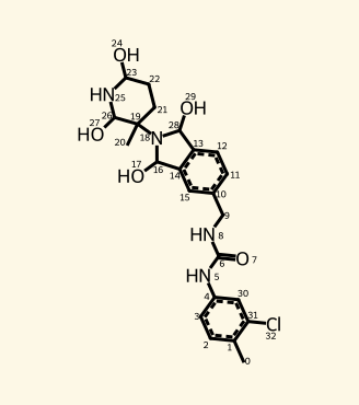 Cc1ccc(NC(=O)NCc2ccc3c(c2)C(O)N(C2(C)CCC(O)NC2O)C3O)cc1Cl